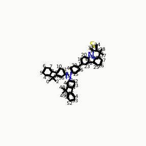 CC1(C)c2ccccc2-c2ccc(N(c3ccc(-c4ccc5c(c4)c4cccc6c4n5-c4cscc4C6(C)C)cc3)c3ccc4c(c3)C(C)(C)c3ccccc3-4)cc21